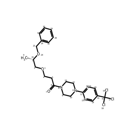 C[C@@H](COCCC(=O)N1CCN(c2ncc(C(Cl)(Cl)Cl)cn2)CC1)OCc1ccccc1